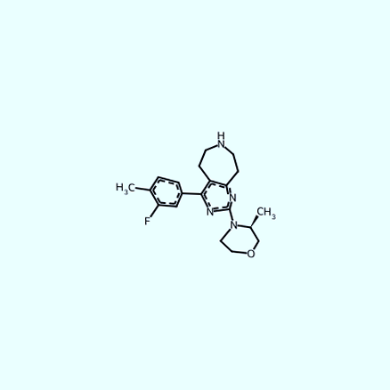 Cc1ccc(-c2nc(N3CCOC[C@@H]3C)nc3c2CCNCC3)cc1F